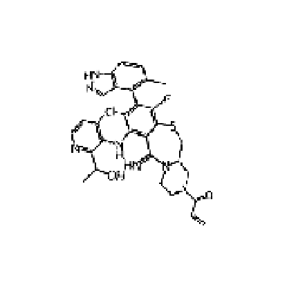 C=CC(=O)N1CCN2C(=N)c3c(Nc4c(C)ccnc4C(C)O)c(Cl)c(-c4c(C)ccc5[nH]ncc45)c(F)c3SCC2C1